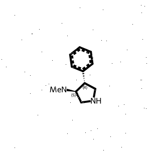 CN[C@@H]1CNC[C@H]1c1ccccc1